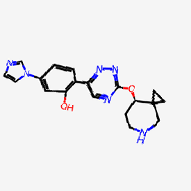 Oc1cc(-n2ccnc2)ccc1-c1cnc(O[C@@H]2CCNCC23CC3)nn1